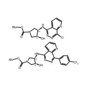 CC(C)(C)OC(=O)N1C[C@H](O)[C@H](Nc2nnc(-c3ccc(C(F)(F)F)cc3)c3ncccc23)C1.CC(C)(C)OC(=O)N1C[C@H](O)[C@H](Nc2nnc(Cl)c3ncccc23)C1